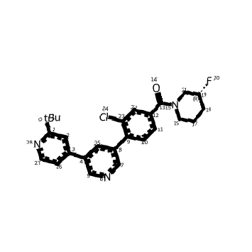 CC(C)(C)c1cc(-c2cncc(-c3ccc(C(=O)N4CCC[C@@H](F)C4)cc3Cl)c2)ccn1